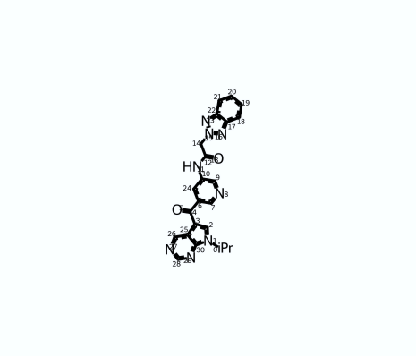 CC(C)n1cc(C(=O)c2cncc(NC(=O)Cn3nc4ccccc4n3)c2)c2cncnc21